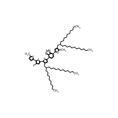 CCCCCCCCCCCCC(CCCCCCCCCC)Cc1cc(-c2ccc(-c3cc(CC(CCCCCCCCCC)CCCCCCCCCCCC)c(-c4cc(F)c(-c5ccc(C)s5)s4)s3)c3nsnc23)sc1C